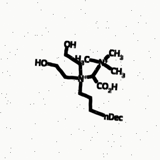 CCCCCCCCCCCCC[N+](CCO)(CCO)C(C(=O)O)[N+](C)(C)C